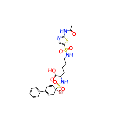 CC(=O)Nc1ncc(S(=O)(=O)NCCCCC(NS(=O)(=O)C2(Br)C=CC(c3ccccc3)=CC2)C(=O)O)s1